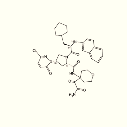 NC(=O)C(=O)C1(NC(=O)[C@@H]2C[C@H](n3nc(Cl)ccc3=O)CN2C(=O)[C@@H](CC2CCCCC2)Nc2ccc3ccccc3c2)CCOCC1